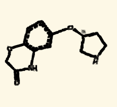 O=C1COc2ccc(O[C@H]3CCNC3)cc2N1